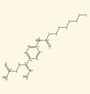 CCCCCCCCC(=O)Nc1ccc(C(CCC(=O)O)=NO)cc1